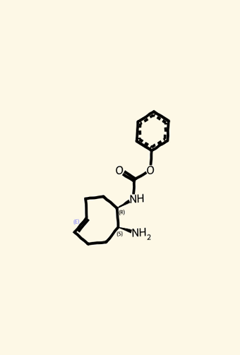 N[C@H]1CC/C=C/CC[C@H]1NC(=O)Oc1ccccc1